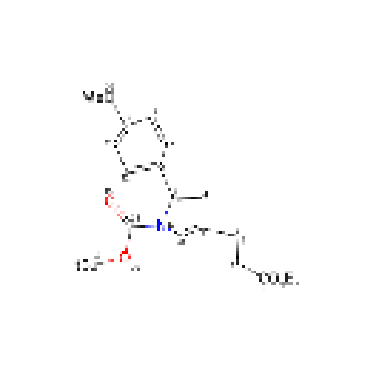 CCOC(=O)/C=C/c1cc(-c2ccc(OC)cc2)n(C(=O)OC(C)(C)C)c1